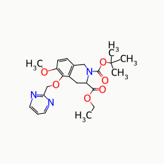 CCOC(=O)C1Cc2c(ccc(OC)c2OCc2ncccn2)CN1C(=O)OC(C)(C)C